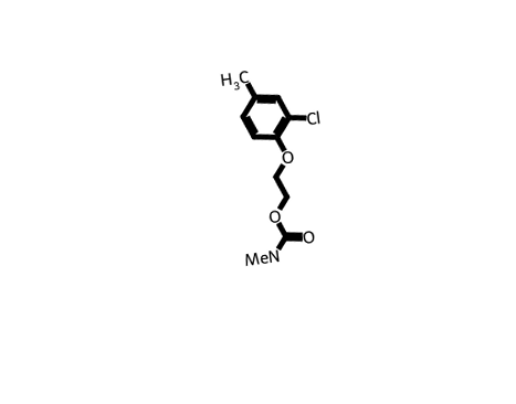 CNC(=O)OCCOc1ccc(C)cc1Cl